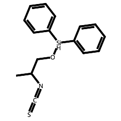 CC(CO[SiH](c1ccccc1)c1ccccc1)N=C=S